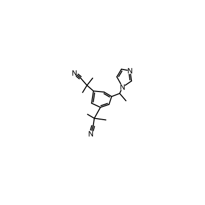 CC(c1cc(C(C)(C)C#N)cc(C(C)(C)C#N)c1)n1ccnc1